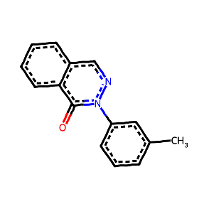 Cc1cccc(-n2ncc3ccccc3c2=O)c1